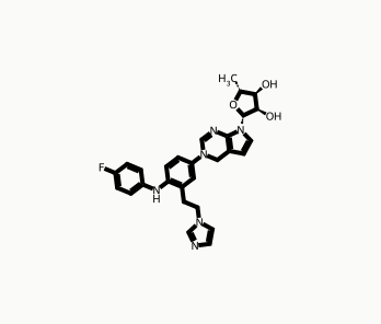 C[C@H]1O[C@@H](n2ccc3c2N=CN(c2ccc(Nc4ccc(F)cc4)c(CCn4ccnc4)c2)C3)[C@H](O)[C@@H]1O